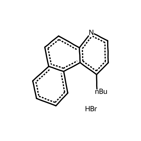 Br.CCCCc1ccnc2ccc3ccccc3c12